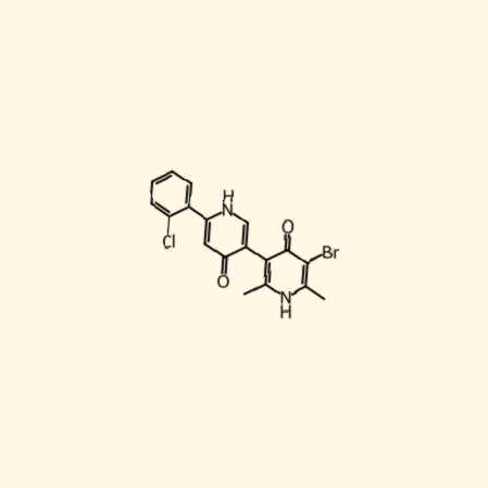 Cc1[nH]c(C)c(-c2c[nH]c(-c3ccccc3Cl)cc2=O)c(=O)c1Br